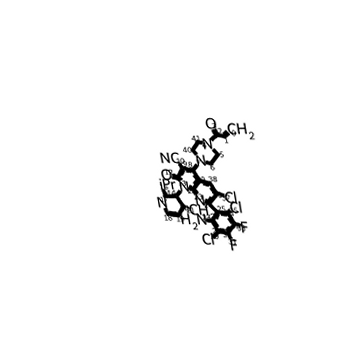 C=CC(=O)N1CCN(c2c(C#N)c(=O)n(C3C(C(C)C)=NC=C[C@H]3C)c3nc(-c4c(N)c(Cl)c(F)c(F)c4Cl)c(Cl)cc23)CC1